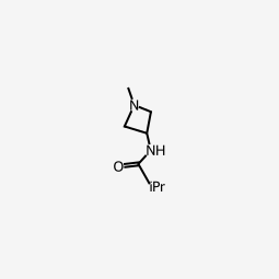 CC(C)C(=O)NC1CN(C)C1